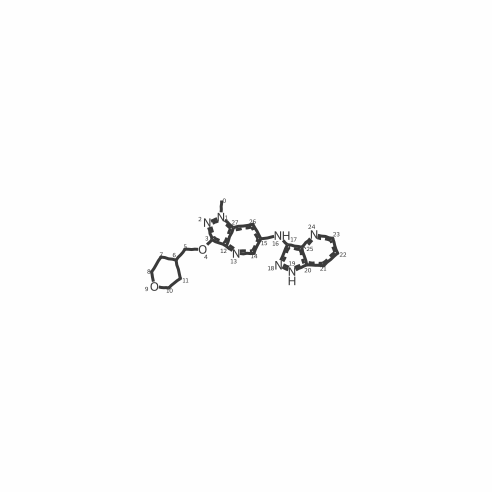 Cn1nc(OCC2CCOCC2)c2ncc(Nc3n[nH]c4cccnc34)cc21